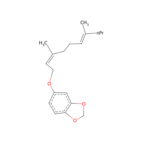 CCCC(C)=CCCC(C)=CCOc1ccc2c(c1)OCO2